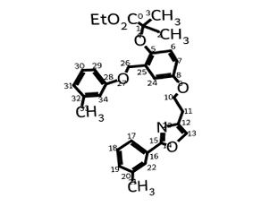 CCOC(=O)C(C)(C)Oc1ccc(OCCc2coc(-c3cccc(C)c3)n2)cc1COc1cccc(C)c1